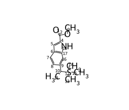 COC(=O)c1cc2ccc(C(C)S(C)(C)C)cc2[nH]1